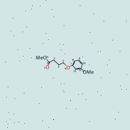 COC(=O)CCCOc1cccc(OC)c1